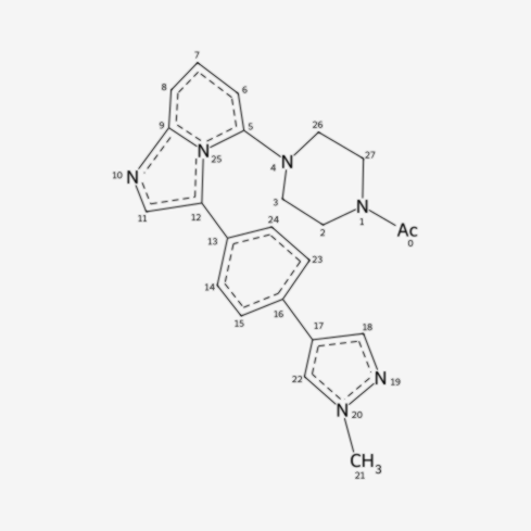 CC(=O)N1CCN(c2cccc3ncc(-c4ccc(-c5cnn(C)c5)cc4)n23)CC1